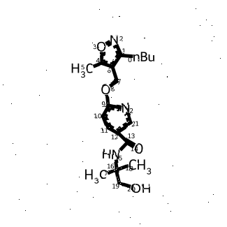 CCCCc1noc(C)c1COc1ccc(C(=O)NC(C)(C)CO)cn1